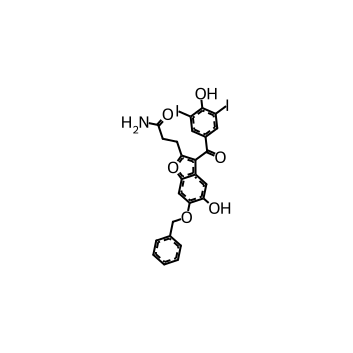 NC(=O)CCc1oc2cc(OCc3ccccc3)c(O)cc2c1C(=O)c1cc(I)c(O)c(I)c1